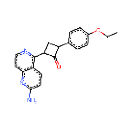 CCOc1ccc(C2CC(c3nccc4nc(N)ccc34)C2=O)cc1